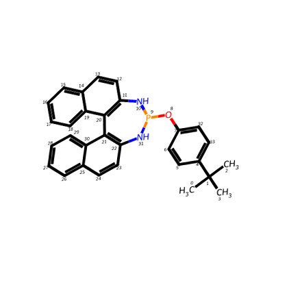 CC(C)(C)c1ccc(Op2[nH]c3ccc4ccccc4c3c3c(ccc4ccccc43)[nH]2)cc1